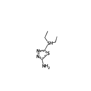 CC[SH](CC)c1nnc(N)s1